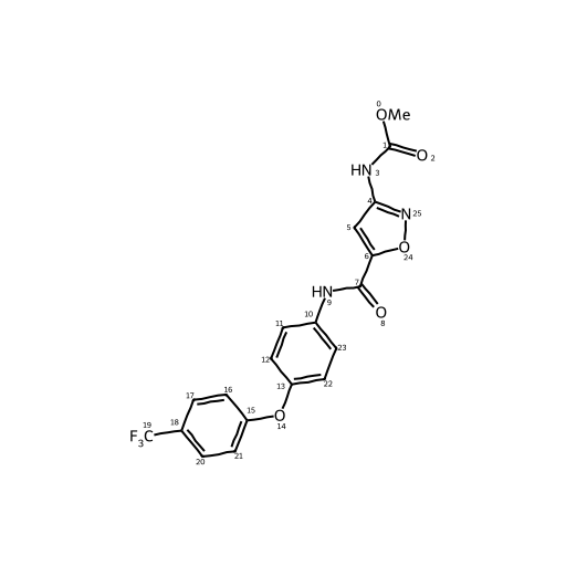 COC(=O)Nc1cc(C(=O)Nc2ccc(Oc3ccc(C(F)(F)F)cc3)cc2)on1